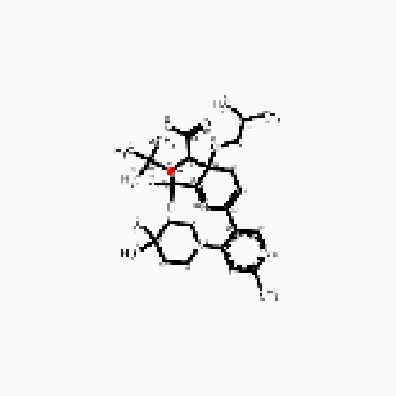 Cc1cc(N2CCC(C)(C)CC2)c(C2=CCC(OCC(C)C)(C(OC(C)(C)C)C(=O)O)C(C(F)(F)F)=N2)cn1